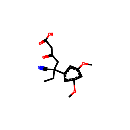 CCC(C#N)(CC(=O)CC(=O)O)c1cc(OC)cc(OC)c1